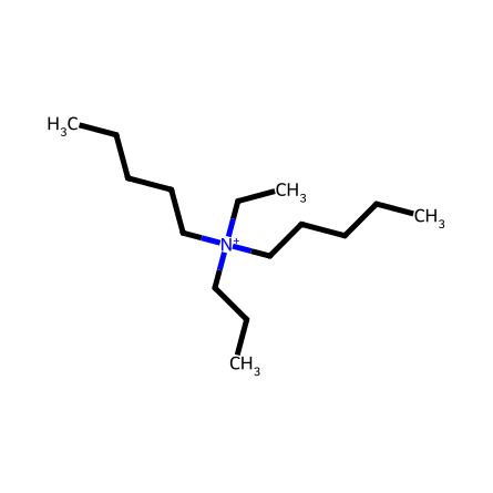 CCCCC[N+](CC)(CCC)CCCCC